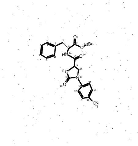 CC(C)(C)OC(=O)[C@@H](Cc1ccccc1)NC(=O)C1CN(c2ccc(C#N)cc2)C(=O)O1